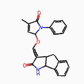 CC1=CC(OC=C2C(=O)NC3c4ccccc4CC23)N(c2ccccc2)C1=O